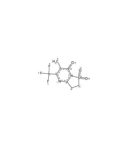 Cc1c(C(F)(F)F)nc2n(c1=O)S(=O)(=O)CC2